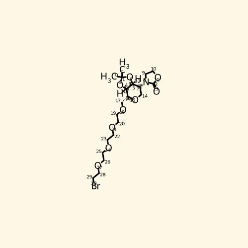 CC1(C)O[C@@H]2[C@H](O1)[C@H](N1CCOC1=O)CO[C@@H]2COCCOCCOCCOCCBr